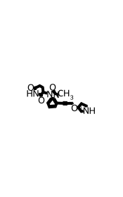 Cn1c(=O)n(C2CCC(=O)NC2=O)c2cccc(C#CCO[C@@H]3CCNC3)c21